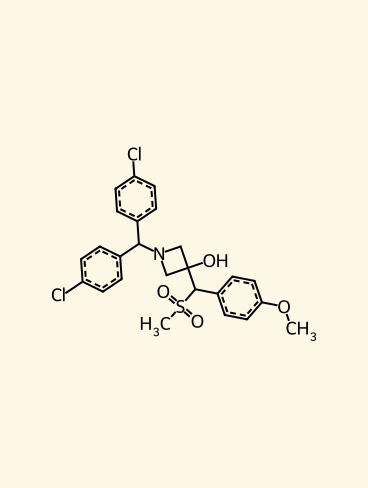 COc1ccc(C(C2(O)CN(C(c3ccc(Cl)cc3)c3ccc(Cl)cc3)C2)S(C)(=O)=O)cc1